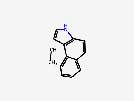 CC.c1ccc2c(c1)ccc1[nH]ccc12